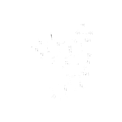 [2H]C([2H])([2H])NC(=O)c1nnc(Nc2ccc(N3CCOCC3)cn2)cc1Nc1nccc2c1N(C)[C@H](C)c1nn(C)nc1-2